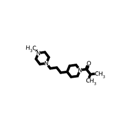 CC(C)C(=O)N1CCC(CCCN2CCN(C)CC2)CC1